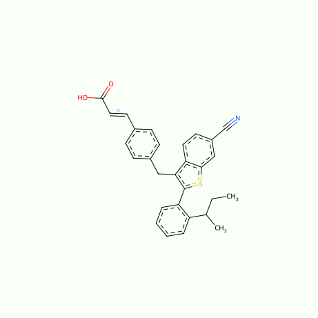 CCC(C)c1ccccc1-c1sc2cc(C#N)ccc2c1Cc1ccc(/C=C/C(=O)O)cc1